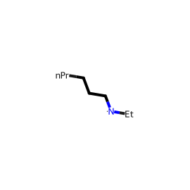 CCCCCC[N]CC